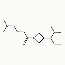 CCC(C(C)C)C1CN(C(=O)/C=C/CN(C)C)C1